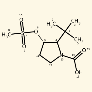 CC(C)(C)C1[C@@H](OS(C)(=O)=O)CCN1C(=O)O